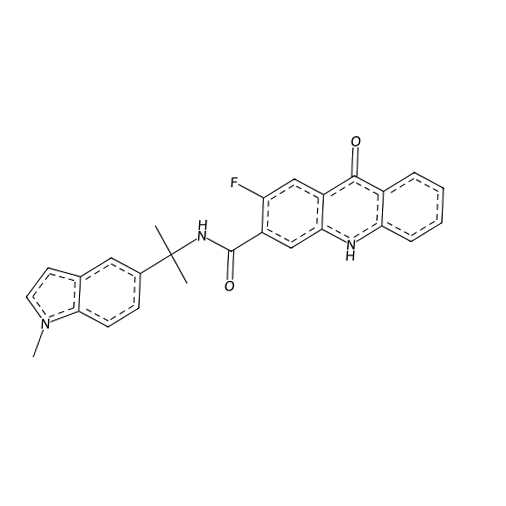 Cn1ccc2cc(C(C)(C)NC(=O)c3cc4[nH]c5ccccc5c(=O)c4cc3F)ccc21